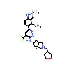 Cc1c(-c2cc(C(F)F)c(N[C@@H]3CC4CN(CC5CCOCC5)C[C@H]4C3)nn2)ccc2nn(C)cc12